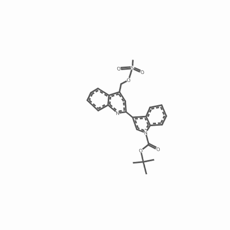 CC(C)(C)OC(=O)n1cc(-c2cc(COS(C)(=O)=O)c3ccccc3n2)c2ccccc21